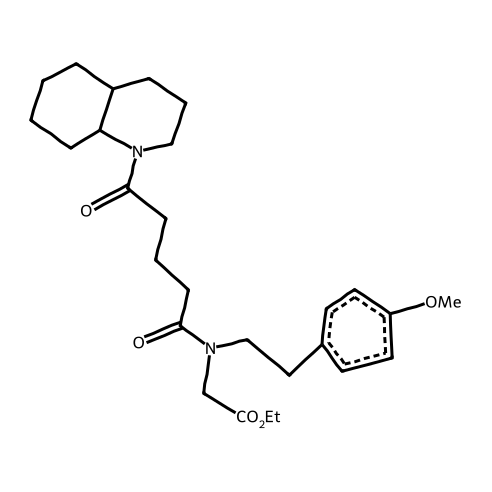 CCOC(=O)CN(CCc1ccc(OC)cc1)C(=O)CCCC(=O)N1CCCC2CCCCC21